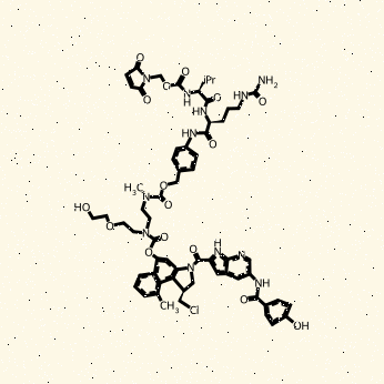 Cc1cccc2c(OC(=O)N(CCOCCO)CCN(C)C(=O)OCc3ccc(NC(=O)[C@H](CCCNC(N)=O)NC(=O)[C@@H](NC(=O)OCN4C(=O)C=CC4=O)C(C)C)cc3)cc3c(c12)[C@H](CCl)CN3C(=O)c1cc2cc(NC(=O)c3ccc(O)cc3)cnc2[nH]1